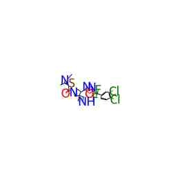 Cc1nc(C)c(C(=O)N2CC(c3nnc(C(F)(F)c4ccc(Cl)c(Cl)c4)o3)C3(CNC3)C2)s1